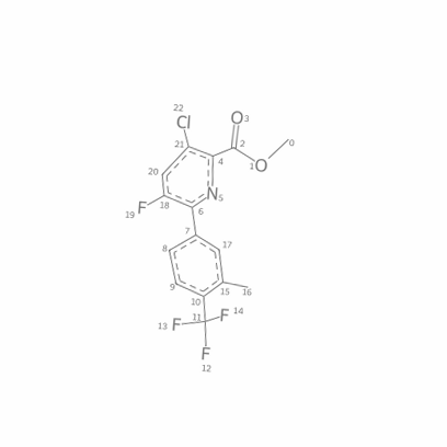 COC(=O)c1nc(-c2ccc(C(F)(F)F)c(C)c2)c(F)cc1Cl